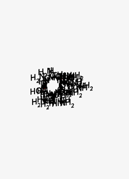 C[C@@H]1NC(=O)[C@H](Cc2ccc(O)cc2)NC(=O)[C@@H](NC(=O)[C@H](CCCNC(=N)N)NC(=O)[C@H](CCCNC(=N)N)NC(=O)[C@@H](N)CCCNC(=N)N)CSSC[C@@H](C(=O)N[C@@H](CCCNC(=N)N)C(=O)O)NC(=O)[C@H](CCCNC(=N)N)NC(=O)[C@H](CCCNC(=N)N)NC(=O)[C@H](Cc2ccc(O)cc2)NC(=O)[C@@H]2CCCN2C(=O)[C@H](CCCCN)NC(=O)[C@H](CCCCN)NC1=O